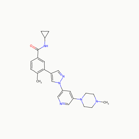 Cc1ccc(C(=O)NC2CC2)cc1-c1cnn(-c2cncc(N3CCN(C)CC3)c2)c1